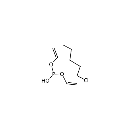 C=COP(O)OC=C.CCCCCCl